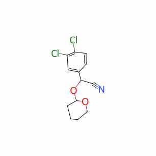 N#CC(OC1CCCCO1)c1ccc(Cl)c(Cl)c1